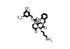 NCCCC[C@H]1C(=O)N(Cc2ccccc2[N+](=O)[O-])C[C@@H]2N(C(=O)OCc3cc(C(F)(F)F)cc(C(F)(F)F)c3)CCC(=O)N21